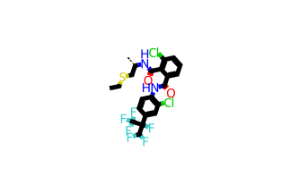 CCSC[C@H](C)NC(=O)c1c(Cl)cccc1C(=O)Nc1ccc(C(F)(C(F)F)C(F)(F)F)cc1Cl